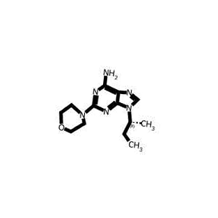 CC[C@@H](C)n1cnc2c(N)nc(N3CCOCC3)nc21